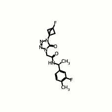 Cc1ccc([C@H](C)NC(=O)Cn2nnn(C34CC(F)(C3)C4)c2=O)cc1F